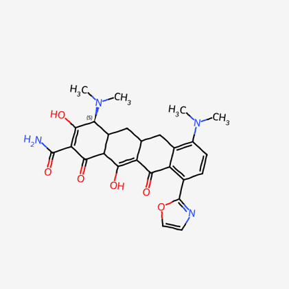 CN(C)c1ccc(-c2ncco2)c2c1CC1CC3C(C(=O)C(C(N)=O)=C(O)[C@H]3N(C)C)C(O)=C1C2=O